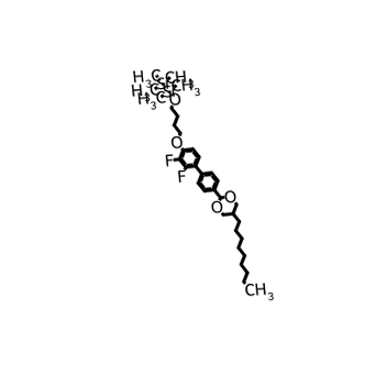 CCCCCCCCCC1COC(c2ccc(-c3ccc(OCCCCO[Si](C)(C)[Si](C)(C)C)c(F)c3F)cc2)OC1